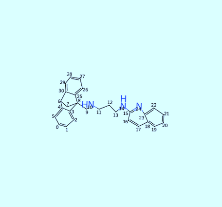 c1ccc2c(c1)C1CC2(CNCCCNc2ccc3ccccc3n2)c2ccccc21